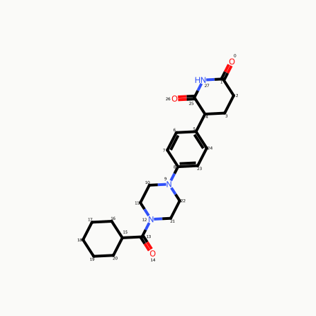 O=C1CCC(c2ccc(N3CCN(C(=O)C4CCCCC4)CC3)cc2)C(=O)N1